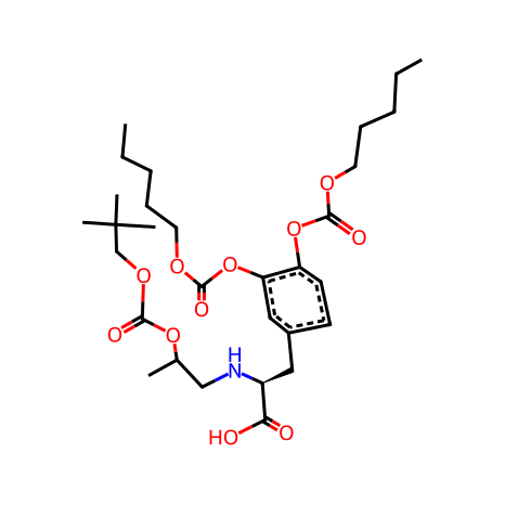 CCCCCOC(=O)Oc1ccc(C[C@H](NCC(C)OC(=O)OCC(C)(C)C)C(=O)O)cc1OC(=O)OCCCCC